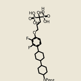 CCCCCC1CCC(C2CCC(c3ccc(OCCCC(O)(P(=O)(O)O)P(=O)(O)O)c(F)c3F)CC2)CC1